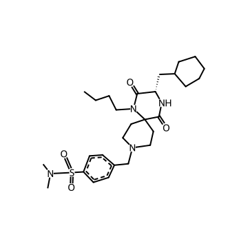 CCCCN1C(=O)[C@H](CC2CCCCC2)NC(=O)C12CCN(Cc1ccc(S(=O)(=O)N(C)C)cc1)CC2